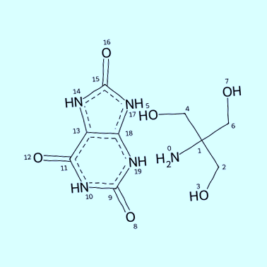 NC(CO)(CO)CO.O=c1[nH]c(=O)c2[nH]c(=O)[nH]c2[nH]1